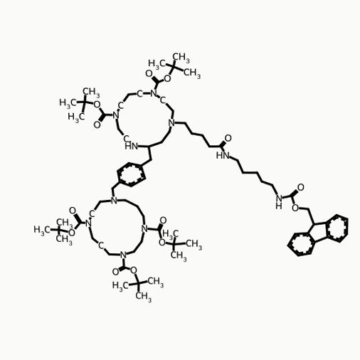 CC(C)(C)OC(=O)N1CCCN(C(=O)OC(C)(C)C)CCN(CCCCC(=O)NCCCCCNC(=O)OCC2c3ccccc3-c3ccccc32)CCC(Cc2ccc(CN3CCCN(C(=O)OC(C)(C)C)CCN(C(=O)OC(C)(C)C)CCCN(C(=O)OC(C)(C)C)CC3)cc2)NCC1